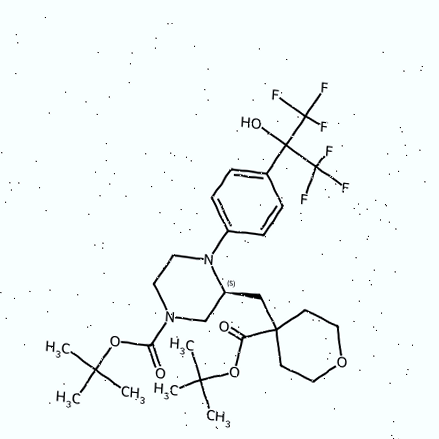 CC(C)(C)OC(=O)N1CCN(c2ccc(C(O)(C(F)(F)F)C(F)(F)F)cc2)[C@@H](CC2(C(=O)OC(C)(C)C)CCOCC2)C1